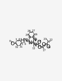 COc1ccc(CNc2nc(N(C)C(=O)OC(C)OC(=O)C(C)C)nc3ccccc23)cc1